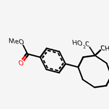 COC(=O)c1ccc(C2CCCCCC(C)(C(=O)O)C2)cc1